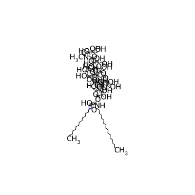 CCCCCCCCCCCCC/C=C/[C@@H](O)[C@H](CO[C@@H]1OC(CO)[C@@H](O[C@@H]2OC(CO)[C@H](O)[C@H](O[C@@H]3OC(CO)[C@@H](O[C@@H]4OC(CO)[C@H](O)[C@H](O[C@@H]5OC(CO)[C@@H](O)[C@H](O)C5NC(C)=O)C4O)[C@H](O[C@H]4OC(C)[C@@H](O)C(O)[C@@H]4O)C3NC(C)=O)C2O)[C@H](O)C1O)NC(=O)CCCCCCCCCCCCCCCCC